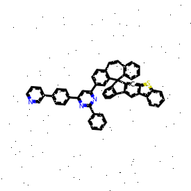 C1=Cc2ccc(-c3cc(-c4ccc(-c5cccnc5)cc4)nc(-c4ccccc4)n3)cc2C2(c3ccccc31)c1ccccc1-c1cc3c(cc12)sc1ccccc13